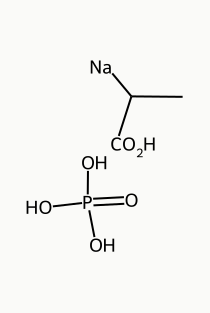 C[CH]([Na])C(=O)O.O=P(O)(O)O